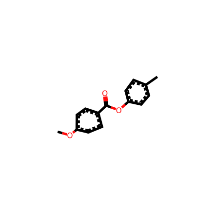 COc1ccc(C(=O)Oc2ccc(C)cc2)cc1